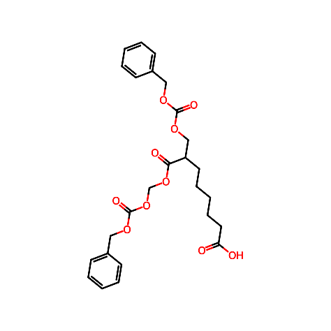 O=C(O)CCCCCC(COC(=O)OCc1ccccc1)C(=O)OCOC(=O)OCc1ccccc1